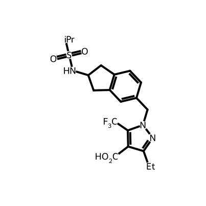 CCc1nn(Cc2ccc3c(c2)CC(NS(=O)(=O)C(C)C)C3)c(C(F)(F)F)c1C(=O)O